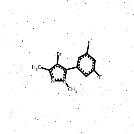 Cc1nn(C)c(-c2cc(F)cc(F)c2)c1Br